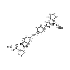 CC(C)(C)OC(=O)N1CCC[C@H]1c1nc2cc(C#Cc3ccc(-c4cc([C@@]5(C)CCCN5C(=O)OC(C)(C)C)[nH]n4)cc3)ccc2[nH]1